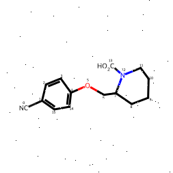 N#Cc1ccc(OCC2CCCCN2C(=O)O)cc1